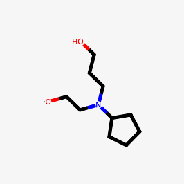 [O]CCN(CCCO)C1CCCC1